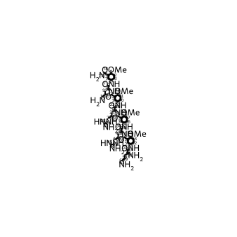 COc1ccc(NC(=O)[C@@H](CCCN)NC(=O)c2cc(NC(=O)[C@@H](CCCNC(=N)N)NC(=O)c3cc(NC(=O)[C@@H](CCCNC(=N)N)NC(=O)c4cc(NC(=O)[C@H](N)CCCN)ccc4OC)ccc3OC)ccc2OC)cc1C(N)=O